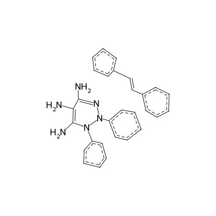 C(=Cc1ccccc1)c1ccccc1.NC1=NN(c2ccccc2)N(c2ccccc2)C(N)=C1N